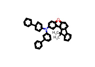 CC1(C)c2ccccc2-c2ccc3oc4ccc(N(c5ccc(-c6ccccc6)cc5)c5cccc(-c6ccccc6)c5)cc4c3c21